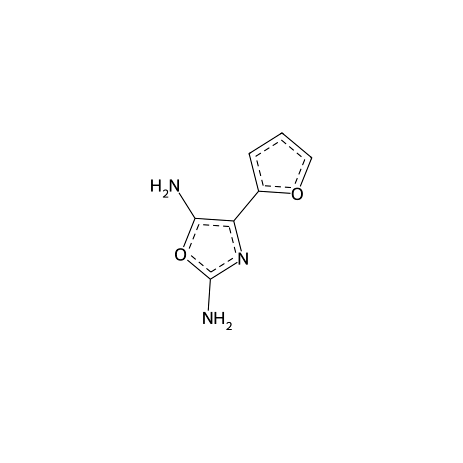 Nc1nc(-c2ccco2)c(N)o1